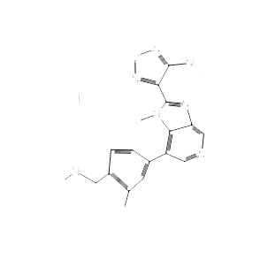 CCNCc1ccc(-c2cncc3nc(-c4nonc4N)n(CC)c23)cc1F.Cl